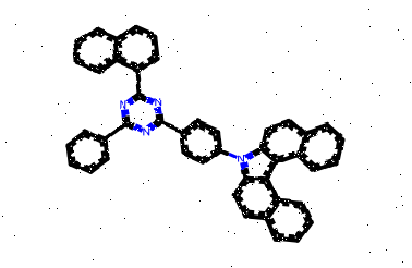 c1ccc(-c2nc(-c3ccc(-n4c5ccc6ccccc6c5c5c6ccccc6ccc54)cc3)nc(-c3cccc4ccccc34)n2)cc1